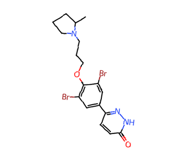 CC1CCCN1CCCOc1c(Br)cc(-c2ccc(=O)[nH]n2)cc1Br